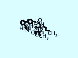 CCCCc1nc(C(=O)OCc2ccc(-c3ccccc3-c3nnn[nH]3)cc2)c(C(C)O)n1Cc1oc(=O)oc1C